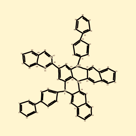 c1ccc(-c2ccc(N3c4cc5ccccc5cc4B4c5cc6ccccc6cc5N(c5ccc(-c6ccccc6)cc5)c5cc(-c6ncc7ccccc7n6)cc3c54)cc2)cc1